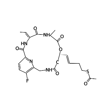 C/C=C1\NC(=O)c2ccc(F)c(n2)CNC(=O)C[C@@H](/C=C/CCSC(C)=O)OC(=O)C(C)NC1=O